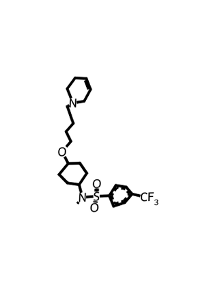 CN(C1CCC(OCCCCN2CC=CCC2)CC1)S(=O)(=O)c1ccc(C(F)(F)F)cc1